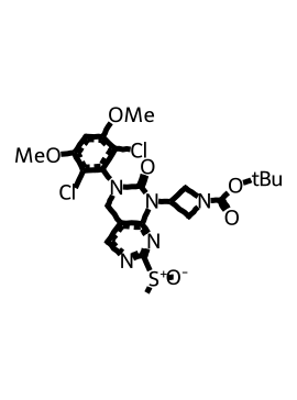 COc1cc(OC)c(Cl)c(N2Cc3cnc([S+](C)[O-])nc3N(C3CN(C(=O)OC(C)(C)C)C3)C2=O)c1Cl